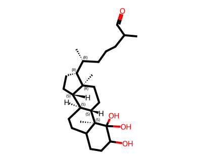 CC(C=O)CCC[C@@H](C)[C@H]1CC[C@H]2[C@@H]3CCC4CCC(O)C(O)(O)[C@]4(C)[C@H]3CC[C@]12C